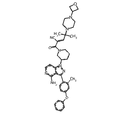 Cc1cc(Oc2ccccc2)ccc1-c1nn([C@@H]2CCCN(C(=O)C(C#N)=CC(C)(C)N3CCN(C4COC4)CC3)C2)c2ccnc(N)c12